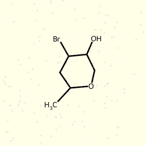 CC1CC(Br)C(O)CO1